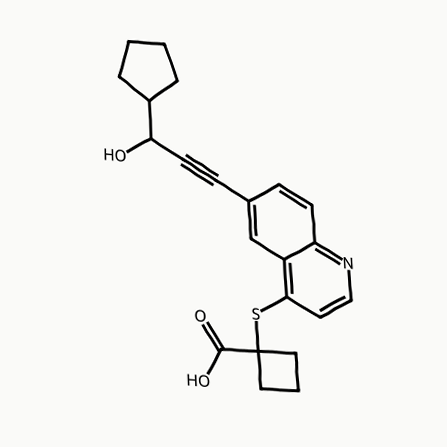 O=C(O)C1(Sc2ccnc3ccc(C#CC(O)C4CCCC4)cc23)CCC1